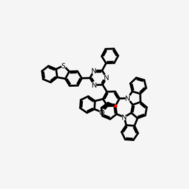 c1ccc(-c2nc(-c3ccc4c(c3)sc3ccccc34)nc(-c3cc(-n4c5ccccc5c5ccc6c7ccccc7n(-c7ccccc7)c6c54)cc4oc5ccccc5c34)n2)cc1